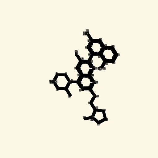 CC1CNCCN1c1nc(OCC2CCCN2C)nc2nc(-c3cc(O)cc4cccc(Cl)c34)c(F)cc12